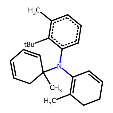 CC1=C(N(c2cccc(C)c2C(C)(C)C)C2(C)C=CC=CC2)C=CCC1